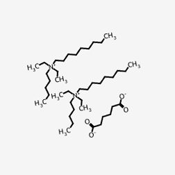 CCCCCCCCC[N+](CC)(CC)CCCCC.CCCCCCCCC[N+](CC)(CC)CCCCC.O=C([O-])CCCCC(=O)[O-]